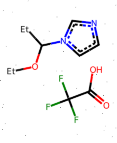 CCOC(CC)n1ccnc1.O=C(O)C(F)(F)F